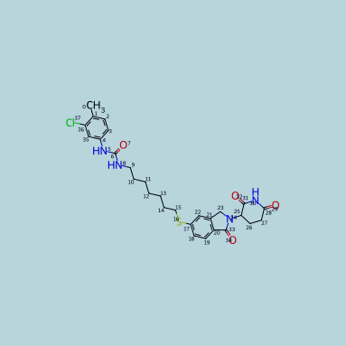 Cc1ccc(NC(=O)NCCCCCCCSc2ccc3c(c2)CN(C2CCC(=O)NC2=O)C3=O)cc1Cl